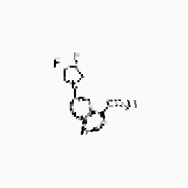 O=C(O)c1ccnc2ccc(N3C[C@H](F)[C@@H](F)C3)cc12